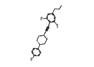 CCCc1cc(F)c(C#CC2CCC(c3ccc(F)cc3)CC2)c(F)c1